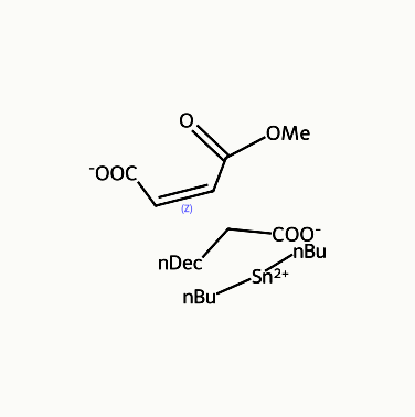 CCCCCCCCCCCC(=O)[O-].CCC[CH2][Sn+2][CH2]CCC.COC(=O)/C=C\C(=O)[O-]